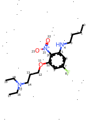 CCCCNc1cc(F)cc(OCCCN(CC)CC)c1[N+](=O)[O-]